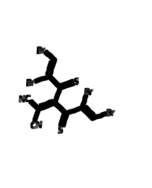 N#CC(C#N)=C(C(=S)C(Br)=CBr)C(=S)C(Br)=CBr